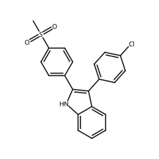 CS(=O)(=O)c1ccc(-c2[nH]c3ccccc3c2-c2ccc(Cl)cc2)cc1